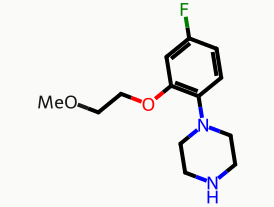 COCCOc1cc(F)ccc1N1CCNCC1